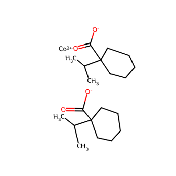 CC(C)C1(C(=O)[O-])CCCCC1.CC(C)C1(C(=O)[O-])CCCCC1.[Co+2]